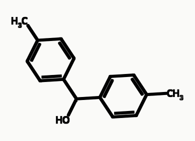 Cc1ccc([C](O)c2ccc(C)cc2)cc1